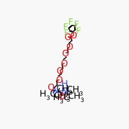 CC(C)[C@@H](C)NC(=O)C(C)(C)N(C)C(=O)CCOCCOCCOCCOCCOCCC(=O)Oc1c(F)c(F)c(F)c(F)c1F